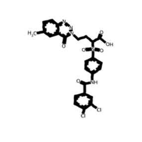 Cc1ccc2nnn(CCC(C(=O)O)S(=O)(=O)c3ccc(NC(=O)c4ccc(Cl)c(Cl)c4)cc3)c(=O)c2c1